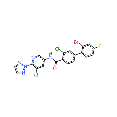 O=C(Nc1cnc(-n2nccn2)c(Cl)c1)c1ccc(-c2ccc(F)cc2Br)cc1Cl